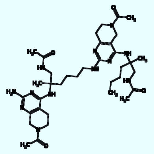 CCCCC(C)(CNC(C)=O)Nc1nc(NCCCCC(C)(CNC(C)=O)Nc2nc(N)nc3c2CCN(C(C)=O)C3)nc2c1CN(C(C)=O)CC2